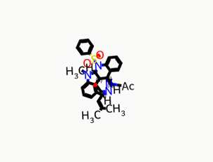 CC(=O)N1CC[C@@]23c4ccccc4N(S(=O)(=O)c4ccccc4)[C@H]4N(C)c5cccc6c5[C@@]42CCN([C@@H]6C=C(C)C)[C@@H]13